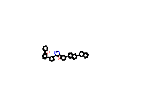 c1cc(-c2cccc3c2oc2ccccc23)cc(-c2ncnc3c2oc2ccc(-c4ccc5cc(-c6ccc7ccccc7c6)ccc5c4)cc23)c1